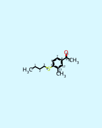 CCCCSc1ccc(C(C)=O)cc1C